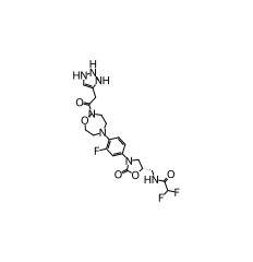 O=C(NC[C@H]1CN(c2ccc(N3CCON(C(=O)CC4=CNNN4)CC3)c(F)c2)C(=O)O1)C(F)F